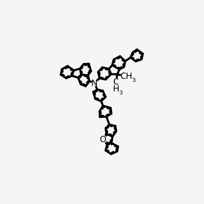 CC1(C)c2cc(-c3ccccc3)ccc2-c2ccc(N(c3ccc(-c4ccc(-c5ccc6c(c5)oc5ccccc56)cc4)cc3)c3ccc4c5c(cccc35)-c3ccccc3-4)cc21